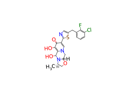 C[C@H]1CO[C@@H]2Cn3cc(-c4ncc(Cc5cccc(Cl)c5F)s4)c(=O)c(O)c3C(O)N12